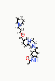 CC(=O)Nc1ccc(CN2CCN3CC(COCCCN4CCCCC4)CCC3C2)cc1